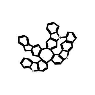 c1ccc(-n2c3ccccc3c3cc4c(cc32)-c2c(ccc3oc5ccccc5c23)-c2ccc3oc5ccccc5c3c2-c2cc3c(cc2-4)-c2ccccc2C3)cc1